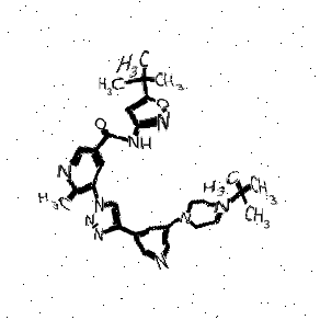 Cc1ncc(C(=O)Nc2cc(C(C)(C)C)on2)cc1-n1cc(-c2cncc(N3CCN(C(C)(C)C)CC3)c2)nn1